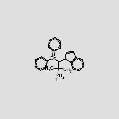 CC(C)(P)[CH](C1C=Cc2ccccc21)[GeH]([c]1ccccc1)[c]1ccccc1.[Ti]